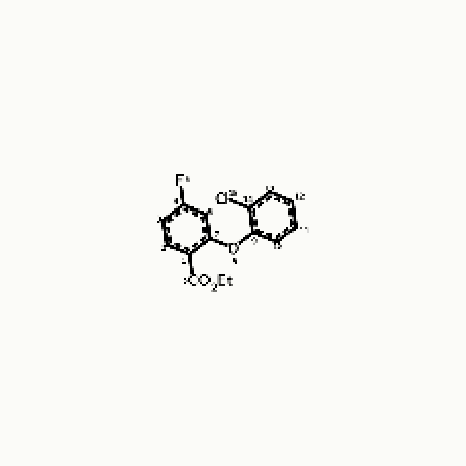 CCOC(=O)c1ccc(F)cc1Oc1ccccc1Cl